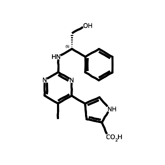 Cc1cnc(N[C@H](CO)c2ccccc2)nc1-c1c[nH]c(C(=O)O)c1